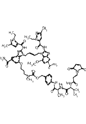 CCn1nc(C)cc1C(=O)Nc1nc2cc(C(N)=O)cc(OC)c2n1C/C=C/Cn1c(NC(=O)c2cc(C)nn2CC)nc2cc(C(N)=O)cc(OCCCN(C)C(=O)OCc3ccc(NC(=O)[C@H](C)NC(=O)[C@@H](NC(=O)CCN4C(=O)C=CC4=O)C(C)C)cc3)c21